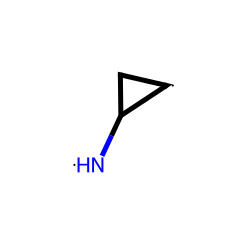 [NH]C1[CH]C1